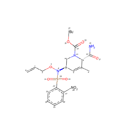 C=CCON([C@@H]1C=C(C)[C@@H](C(N)=O)N(C(=O)OC(C)(C)C)C1)S(=O)(=O)c1ccccc1[N+](=O)[O-]